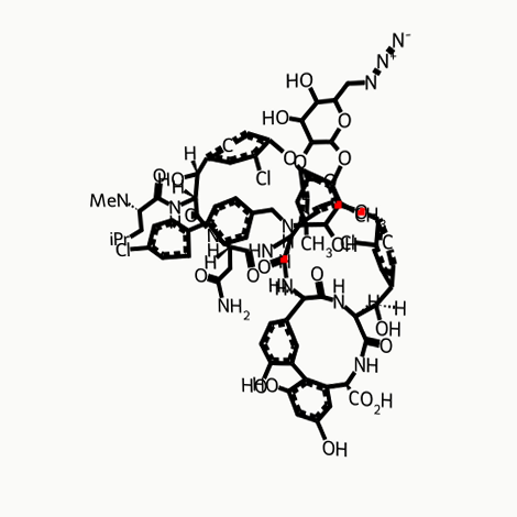 CN[C@@H](CC(C)C)C(=O)N[C@H]1C(=O)N[C@@H](CC(N)=O)C(=O)N[C@H]2C(=O)N[C@H]3C(=O)N[C@H](C(=O)N[C@@H](C(=O)O)c4cc(O)cc(O)c4-c4cc3ccc4O)[C@H](O)c3ccc(c(Cl)c3)Oc3cc2cc(c3OC2OC(CN=[N+]=[N-])C(O)C(O)C2OC2CC(C)(NCc3ccc(-c4ccc(Cl)cc4)cc3)C(O)C(C)O2)Oc2ccc(cc2Cl)[C@H]1O